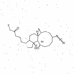 C[C@H](CCC(=O)CF)[C@H]1CC[C@H]2[C@H]3[C@H](CC[C@]12C)[C@@H](C)CCC(N=[N+]=[N-])CCC[C@H]3O